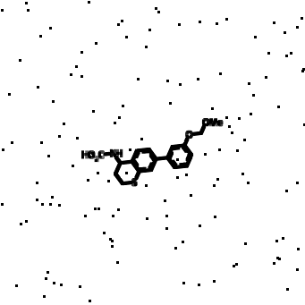 COCOc1cccc(-c2ccc3c(c2)SCCC3NC(=O)O)c1